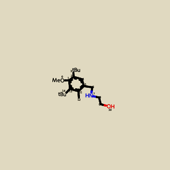 COc1c(C(C)(C)C)cc(CNCCO)c(C)c1C(C)(C)C